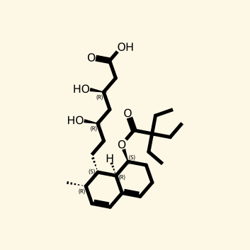 CCC(CC)(CC)C(=O)O[C@H]1CCC=C2C=C[C@H](C)[C@H](CC[C@@H](O)C[C@@H](O)CC(=O)O)[C@H]21